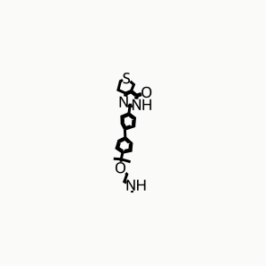 CNCCOC(C)(C)c1ccc(-c2ccc(-c3nc4c(c(=O)[nH]3)CSCC4)cc2)cc1